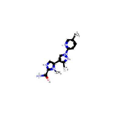 Cn1c(-c2cn(-c3ccc([N+](=O)[O-])cn3)nc2C(F)(F)F)cnc1C(N)=O